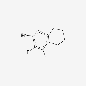 Cc1c(F)c(C(C)C)cc2c1CCCC2